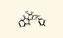 Cc1ccc(S(=O)(=O)Nc2cc3c(c(O)c2O)C(=O)c2ccccc2C3=O)cc1